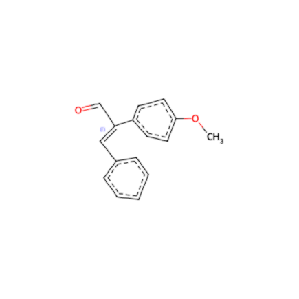 COc1ccc(/C(C=O)=C\c2ccccc2)cc1